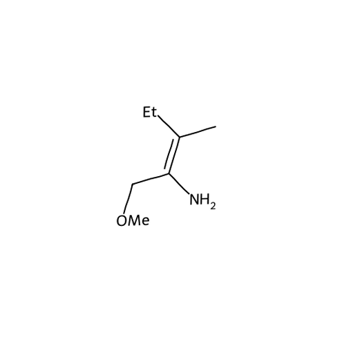 CC/C(C)=C(/N)COC